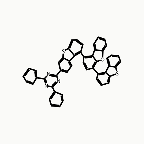 c1ccc(-c2nc(-c3ccccc3)nc(-c3ccc4c(c3)sc3cccc(-c5ccc(-c6cccc7sc8ccccc8c67)c6oc7ccccc7c56)c34)n2)cc1